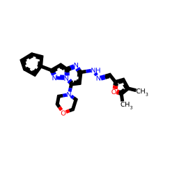 Cc1cc(/C=N/Nc2cc(N3CCOCC3)n3nc(-c4ccccc4)cc3n2)oc1C